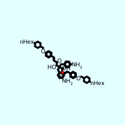 CCCCCCC1CCC(COc2ccc(/C=C/C(=O)C(O)C(Cc3ccc(N)cc3)(Cc3ccc(N)cc3)C(O)C(=O)/C=C/c3ccc(OCC4CCC(CCCCCC)CC4)cc3)cc2)CC1